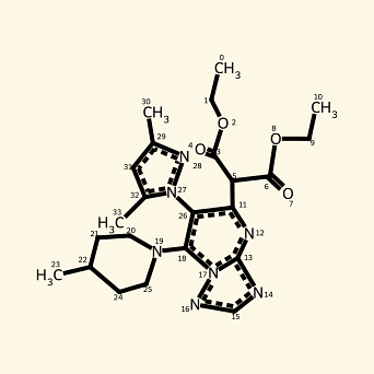 CCOC(=O)C(C(=O)OCC)c1nc2ncnn2c(N2CCC(C)CC2)c1-n1nc(C)cc1C